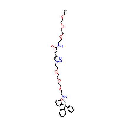 CC(=O)COCCOCCOCCNC(=O)CCc1cn(CCOCCOCCOCCNC(=O)CC(c2ccccc2)(c2ccccc2)c2ccccc2)nn1